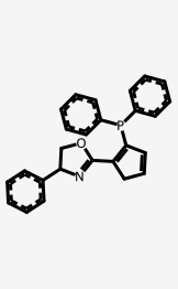 C1=CC(P(c2ccccc2)c2ccccc2)=C(C2=NC(c3ccccc3)CO2)C1